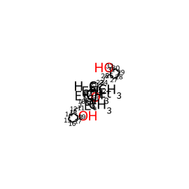 CCC(CC)(O[Si](C)(C)C(CC)(CC)CCCc1ccccc1O)[Si](C)(C)CCCc1ccccc1O